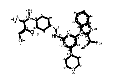 CCN(C(C)/C(C)=C/O)[C@H]1CC[C@H](CNc2nc(N3CCOCC3)cc(-n3c(C(F)F)nc4ccccc43)n2)CC1